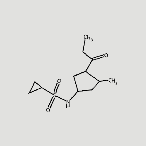 CCC(=O)C1CC(NS(=O)(=O)C2CC2)CC1C